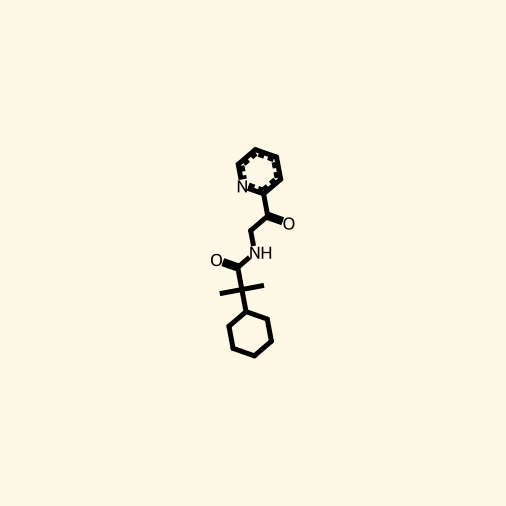 CC(C)(C(=O)NCC(=O)c1ccccn1)C1CCCCC1